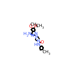 COc1cc2nc(N3CCN(C(=O)Nc4ccc(C)cc4)CC3)nc(N)c2cc1OC